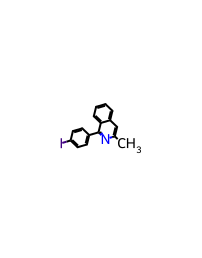 Cc1cc2ccccc2c(-c2ccc(I)cc2)n1